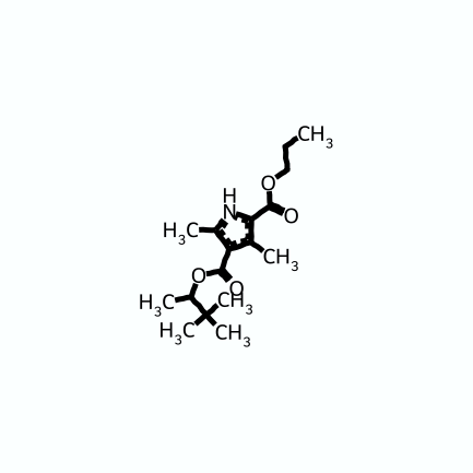 CCCOC(=O)c1[nH]c(C)c(C(=O)OC(C)C(C)(C)C)c1C